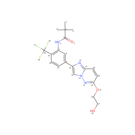 CC(C)(C)C(=O)Nc1cc(-c2cn3nc(OCCO)ccc3n2)ccc1C(F)(F)F